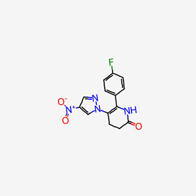 O=C1CCC(n2cc([N+](=O)[O-])cn2)=C(c2ccc(F)cc2)N1